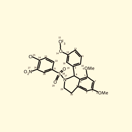 COc1cc2c(c(OC)c1)C(c1cccc(OC(F)(F)F)c1)N(S(=O)(=O)c1ccc(Cl)c([N+](=O)[O-])c1)CC2